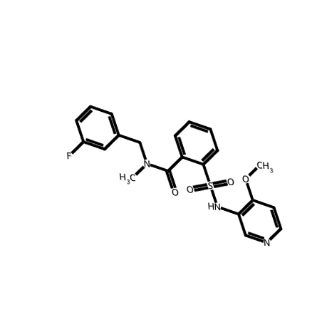 COc1ccncc1NS(=O)(=O)c1ccccc1C(=O)N(C)Cc1cccc(F)c1